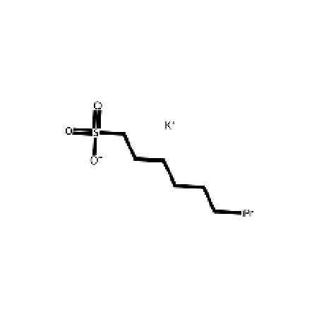 CC(C)CCCCCCS(=O)(=O)[O-].[K+]